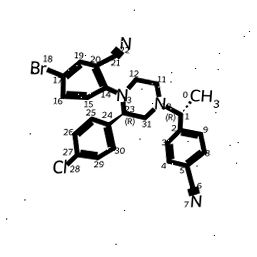 C[C@H](c1ccc(C#N)cc1)N1CCN(c2ccc(Br)cc2C#N)[C@H](c2ccc(Cl)cc2)C1